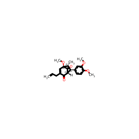 C=CCC1=C[C@@]2(OC)C(=O)[C@@H](C1=O)[C@H](c1ccc(OC)c(OC)c1)[C@H]2C